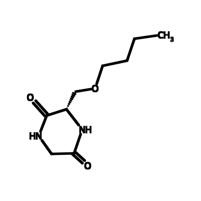 CCCCOC[C@@H]1NC(=O)CNC1=O